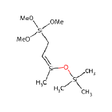 CO[Si](CC=[Si](C)O[Si](C)(C)C)(OC)OC